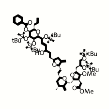 C=CC[C@@H]1O[C@@H]([C@H](C=CC(O)CC[C@H]2CC(=C)[C@H](CC[C@H]3C[C@@H](C)C(=C)[C@@H](C[C@@H]4O[C@H](C[C@@H](CO[Si](C)(C)C(C)(C)C)O[Si](C)(C)C(C)(C)C)[C@H](OC)[C@H]4CC(=O)OC)O3)O2)O[Si](C)(C)C(C)(C)C)[C@@H](O[Si](C)(C)C(C)(C)C)[C@@H](O[Si](C)(C)C(C)(C)C)[C@H]1OC(=O)c1ccccc1